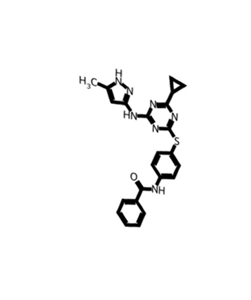 Cc1cc(Nc2nc(Sc3ccc(NC(=O)c4ccccc4)cc3)nc(C3CC3)n2)n[nH]1